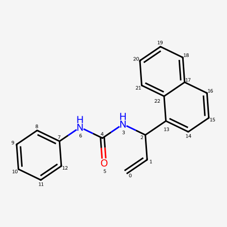 C=CC(NC(=O)Nc1ccccc1)c1cccc2ccccc12